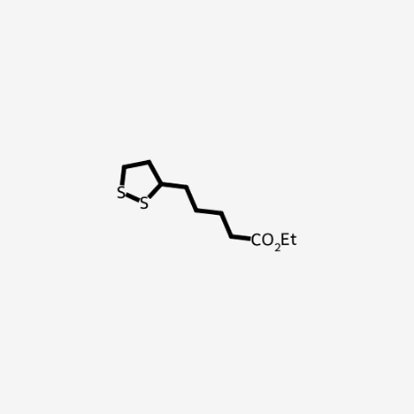 CCOC(=O)CCCCC1CCSS1